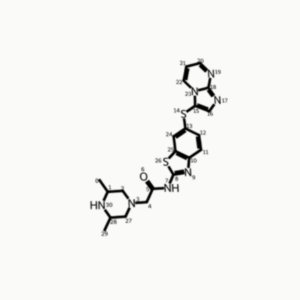 CC1CN(CC(=O)Nc2nc3ccc(Sc4cnc5ncccn45)cc3s2)CC(C)N1